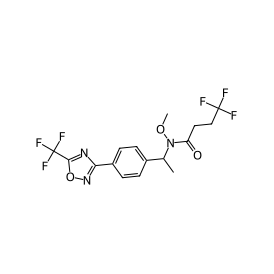 CON(C(=O)CCC(F)(F)F)C(C)c1ccc(-c2noc(C(F)(F)F)n2)cc1